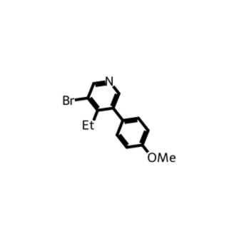 CCc1c(Br)cncc1-c1ccc(OC)cc1